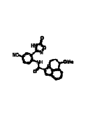 COC1CCn2c(C(=O)Nc3ccc(C#N)cc3-c3noc(=O)[nH]3)cc3cccc1c32